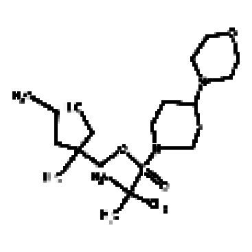 CCCC(C)(CC)COP(=O)(N1CCC(N2CCOCC2)CC1)C(C)(C)C